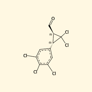 O=C[C@@H]1[C@@H](c2cc(Cl)c(Cl)c(Cl)c2)C1(Cl)Cl